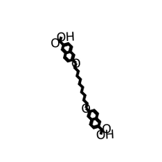 O=C(O)c1ccc2cc(OCCCCCCCCCCOc3ccc4cc(C(=O)O)ccc4c3)ccc2c1